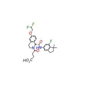 CC1(C)CCc2cc(NC(=O)[C@H]3c4ccc(OCC(F)F)cc4CCN3C(=O)CCC(=O)O)cc(F)c21